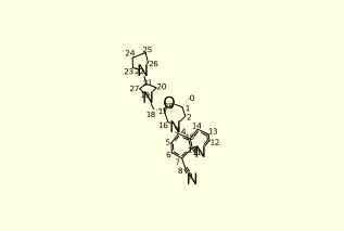 C[C@@H]1CN(c2ccc(C#N)c3ncccc23)C[C@H](CN2CC(N3CCCC3)C2)O1